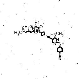 CNc1nc(Nc2ccc(C#N)cc2)ncc1C#C[C@H]1C[C@H](NC(=O)[C@H](C)N(C)C(=O)/C=C/CN(C)C)C1